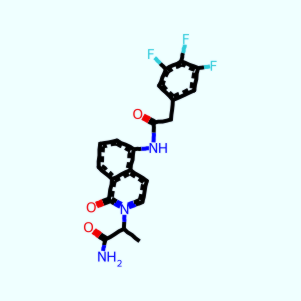 CC(C(N)=O)n1ccc2c(NC(=O)Cc3cc(F)c(F)c(F)c3)cccc2c1=O